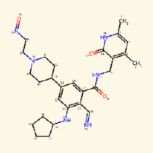 Cc1cc(C)c(CNC(=O)c2cc(C3CCN(CCN=O)CC3)cc(NC3CCCC3)c2C=N)c(=O)[nH]1